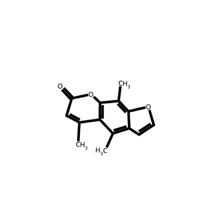 Cc1c2occc2c(C)c2c(C)cc(=O)oc12